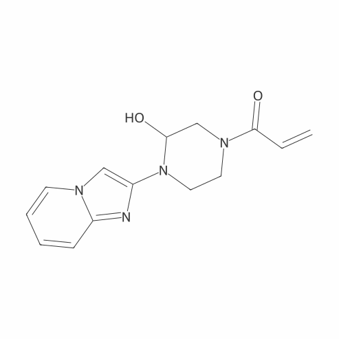 C=CC(=O)N1CCN(c2cn3ccccc3n2)C(O)C1